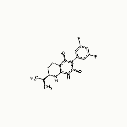 CC(C)[C@H]1CCc2c([nH]c(=O)n(-c3cc(F)cc(F)c3)c2=O)N1